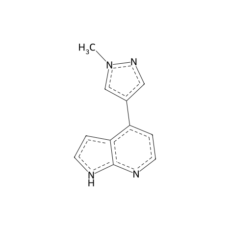 Cn1cc(-c2ccnc3[nH]ccc23)cn1